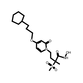 CC(CCn1ccc(OCCCC2CCCCC2)cc1=O)(C(=O)NO)S(C)(=O)=O